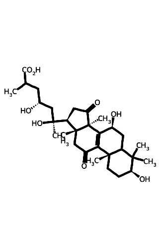 CC(C[C@@H](O)C[C@](C)(O)[C@H]1CC(=O)[C@@]2(C)C3=C(C(=O)C[C@]12C)[C@@]1(C)CC[C@H](O)C(C)(C)C1C[C@@H]3O)C(=O)O